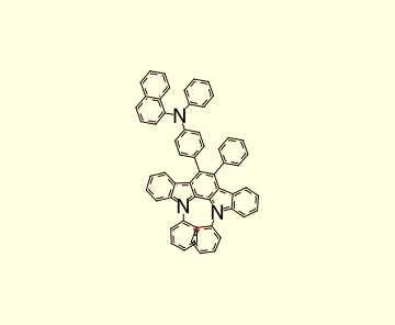 c1ccc(-c2c(-c3ccc(N(c4ccccc4)c4cccc5ccccc45)cc3)c3c4ccccc4n(-c4ccccc4)c3c3c2c2ccccc2n3-c2ccccc2)cc1